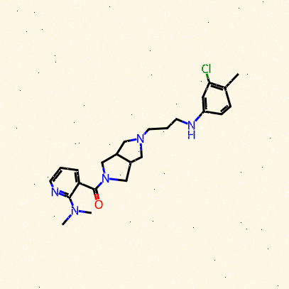 Cc1ccc(NCCCN2CC3CN(C(=O)c4cccnc4N(C)C)CC3C2)cc1Cl